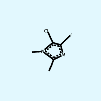 Cc1nc(I)c(Cl)n1C